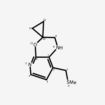 CSCc1ccnc2c1NCC1(CC1)O2